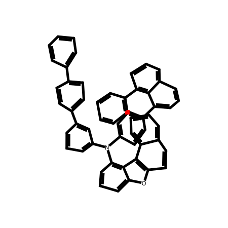 c1ccc(-c2ccc(-c3cccc(N(c4ccc(-c5cccc6cccc(-c7ccccc7)c56)cc4)c4cccc5oc6ccc7ccccc7c6c45)c3)cc2)cc1